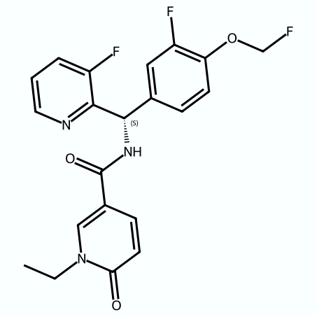 CCn1cc(C(=O)N[C@@H](c2ccc(OCF)c(F)c2)c2ncccc2F)ccc1=O